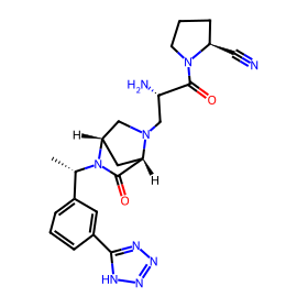 C[C@@H](c1cccc(-c2nnn[nH]2)c1)N1C(=O)[C@@H]2C[C@H]1CN2C[C@H](N)C(=O)N1CCC[C@H]1C#N